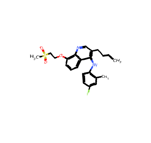 CCCCc1cnc2c(OCCS(C)(=O)=O)cccc2c1Nc1ccc(F)cc1C